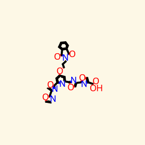 O=C(O)c1coc(-c2coc(-c3cc(OCCCN4C(=O)c5ccccc5C4=O)cc(-c4nc(-c5ncco5)co4)n3)n2)n1